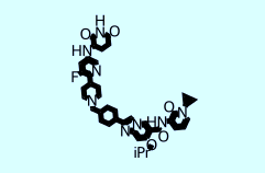 CC(C)Oc1cc2nc(C3CCC(CN4CCC(c5ncc(NC6CCC(=O)NC6=O)cc5F)CC4)CC3)cn2cc1C(=O)Nc1cccn(C2CC2)c1=O